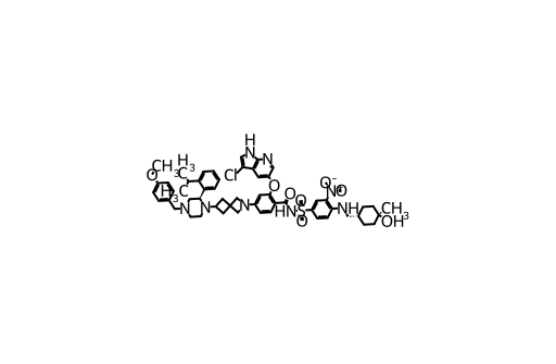 COc1ccc(CN2CCN(C3CC4(C3)CN(c3ccc(C(=O)NS(=O)(=O)c5ccc(NC[C@H]6CC[C@](C)(O)CC6)c([N+](=O)[O-])c5)c(Oc5cnc6[nH]cc(Cl)c6c5)c3)C4)[C@H](c3ccccc3C(C)C)C2)cc1